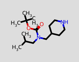 CC(C)CN(CC1CCNCC1)C(=O)OC(C)(C)C